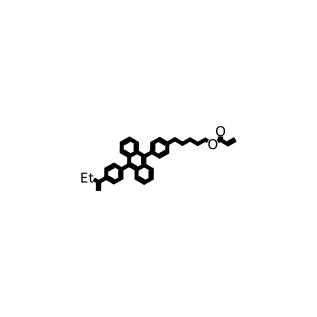 C=CC(=O)OCCCCCc1ccc(-c2c3ccccc3c(-c3ccc(C(=C)CC)cc3)c3ccccc23)cc1